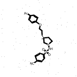 CC(=O)c1ccc(OCCC[C@@H]2CCN(NS(=O)(=O)c3ccc(C#N)cc3)C2)cc1